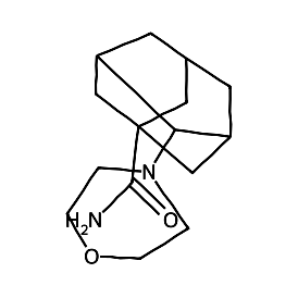 NC(=O)C12CC3CC(C1)C(N1CCOCC1)C(C3)C2